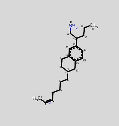 C/C=C\CCCC[C@H]1CCc2cc(C(CN)CCC)ccc2C1